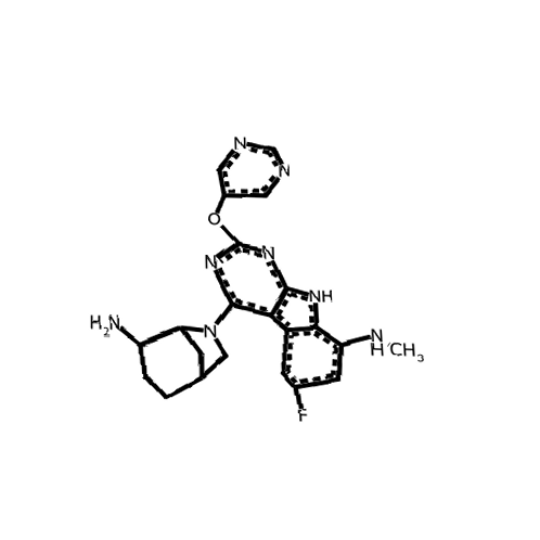 CNc1cc(F)cc2c1[nH]c1nc(Oc3cncnc3)nc(N3CC4CCC(N)C3C4)c12